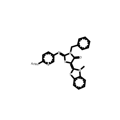 CC(=O)Nc1ccc(/N=C2\S/C(=C3\Sc4ccccc4N3C)C(=O)N2Cc2ccccc2)cn1